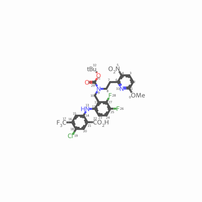 COc1ccc([N+](=O)[O-])c(CCN(Cc2c(Nc3cc(C(F)(F)F)c(Cl)cc3C(=O)O)ccc(F)c2F)C(=O)OC(C)(C)C)n1